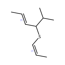 C/C=C\SC(/C=C/C)C(C)C